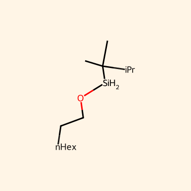 [CH2]CCCCCCCO[SiH2]C(C)(C)C(C)C